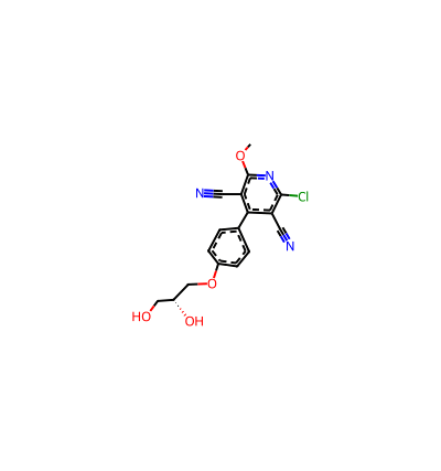 COc1nc(Cl)c(C#N)c(-c2ccc(OC[C@H](O)CO)cc2)c1C#N